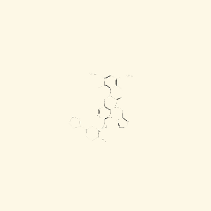 COc1cc(OC)c(Cl)c(N2Cc3cnc(N[C@@H]4CC(C5CCCC5)CC[C@@H]4N)nc3N(Cc3cscn3)C2=O)c1Cl